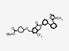 Cn1cnnc1-c1ccccc1-c1cccc(N2Cc3c(cc(COC4CCN(C(=O)OC(C)(C)C)CC4)cc3C(F)(F)F)C2=O)c1